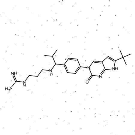 CC(C)C(NCCCNC(=N)N)c1ccc(-n2cc3cc(C(C)(C)C)[nH]c3nc2=O)cc1